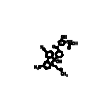 COCCCC[C@@](O)(c1ccc(C#N)cc1-c1cccc(C)c1)[C@@H]1CCCN(C(=O)[C@@H]2C[C@H](O)[C@H](NC(=O)O)C2)C1